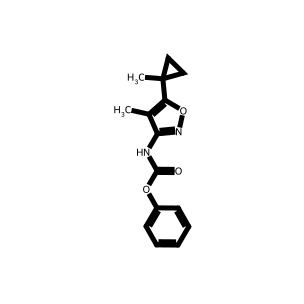 Cc1c(NC(=O)Oc2ccccc2)noc1C1(C)CC1